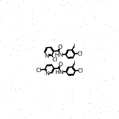 O=C(Nc1ccc(Cl)c(I)c1)c1ccc(Cl)nc1.O=C(Nc1ccc(Cl)c(I)c1)c1cccnc1Cl